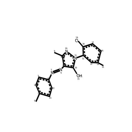 Cc1ccc(N=Nc2c(C)nn(-c3cc(C)ccc3Cl)c2O)cc1